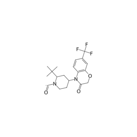 CC(C)(C)C1CC(N2C(=O)COc3cc(C(F)(F)F)ccc32)CCN1[C]=O